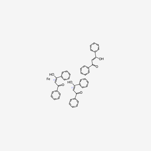 O=C(/C=C(/O)c1ccccc1)c1ccccc1.O=C(/C=C(/O)c1ccccc1)c1ccccc1.O=C(C=C(O)c1ccccc1)c1ccccc1.[Fe]